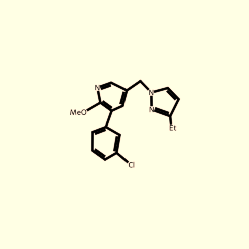 CCc1ccn(Cc2cnc(OC)c(-c3cccc(Cl)c3)c2)n1